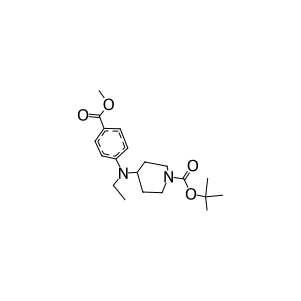 CCN(c1ccc(C(=O)OC)cc1)C1CCN(C(=O)OC(C)(C)C)CC1